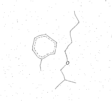 CCCCCOCC(C)C.Cc1ccccc1